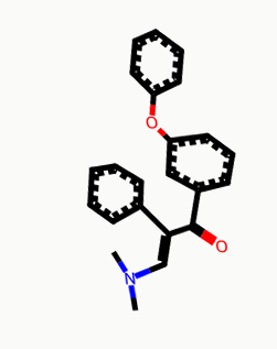 CN(C)/C=C(/C(=O)c1cccc(Oc2ccccc2)c1)c1ccccc1